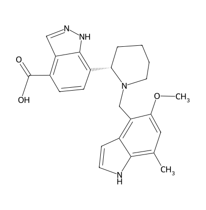 COc1cc(C)c2[nH]ccc2c1CN1CCCC[C@H]1c1ccc(C(=O)O)c2cn[nH]c12